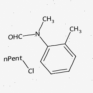 CCCCCCl.Cc1ccccc1N(C)C=O